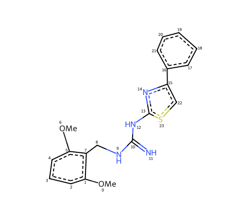 COc1cccc(OC)c1CNC(=N)Nc1nc(-c2ccccc2)cs1